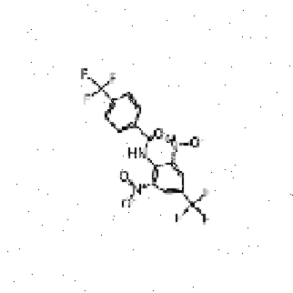 O=C(Nc1c([N+](=O)[O-])cc(C(F)(F)F)cc1[N+](=O)[O-])c1ccc(C(F)(F)F)cc1